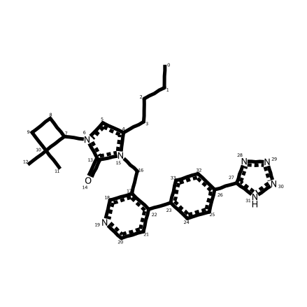 CCCCc1cn(C2CCC2(C)C)c(=O)n1Cc1cnccc1-c1ccc(-c2nnn[nH]2)cc1